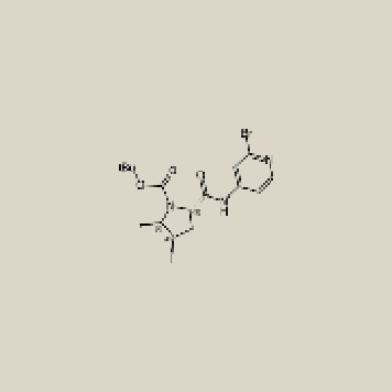 C[C@@H]1[C@H](I)C[C@@H](C(=O)Nc2ccnc(Br)c2)N1C(=O)OC(C)(C)C